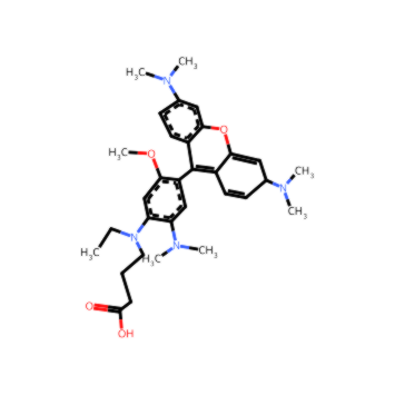 CCN(CCCC(=O)O)c1cc(OC)c(C2=C3C=CC(N(C)C)C=C3Oc3cc(N(C)C)ccc32)cc1N(C)C